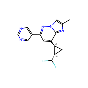 Cc1cn2nc(-c3cncnc3)cc([C@H]3C[C@@H]3C(F)F)c2n1